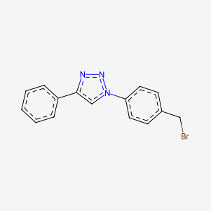 BrCc1ccc(-n2cc(-c3ccccc3)nn2)cc1